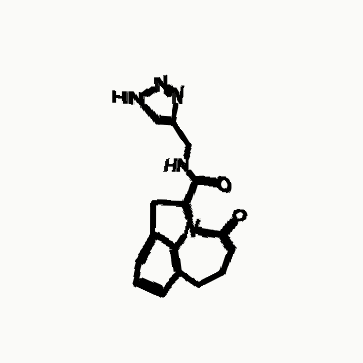 O=C(NCc1c[nH]nn1)C1Cc2cccc3c2N1C(=O)CCC3